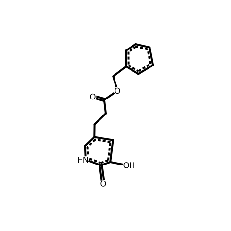 O=C(CCc1c[nH]c(=O)c(O)c1)OCc1ccccc1